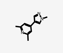 Cc1cc(-c2cnn(C)c2)cc(C)n1